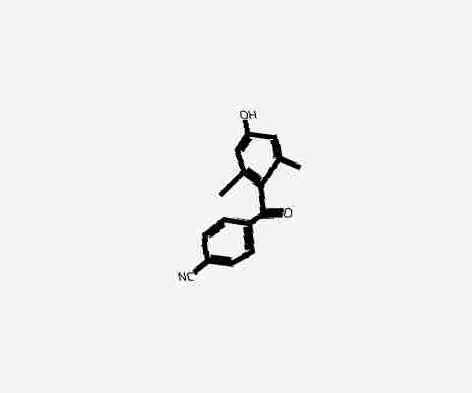 Cc1cc(O)cc(C)c1C(=O)c1ccc(C#N)cc1